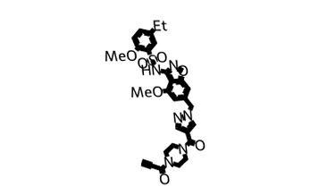 C#CC(=O)N1CCN(C(=O)c2cnn(Cc3cc(OC)c4c(NS(=O)(=O)c5cc(CC)ccc5OC)noc4c3)c2)CC1